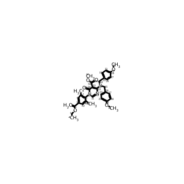 C=C(OCC)c1cc(C)c(-n2cnc(N(Cc3ccc(OC)cc3)Cc3ccc(OC)cc3)c(C(=O)OC)c2=O)c(C)c1